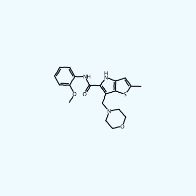 COc1ccccc1NC(=O)c1[nH]c2cc(C)sc2c1CN1CCOCC1